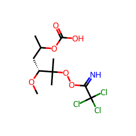 CO[C@H](CC(C)OC(=O)O)C(C)(C)OOC(=N)C(Cl)(Cl)Cl